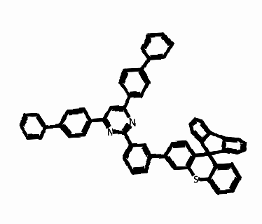 c1ccc(-c2ccc(-c3cc(-c4ccc(-c5ccccc5)cc4)nc(-c4cccc(-c5ccc6c(c5)Sc5ccccc5C65c6ccccc6-c6ccccc65)c4)n3)cc2)cc1